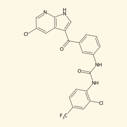 O=C(Nc1cccc(C(=O)c2c[nH]c3ncc(Cl)cc23)c1)Nc1ccc(C(F)(F)F)cc1Cl